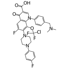 CN(C)Cc1ccc(-n2cc(C(=O)O)c(=O)c3cc(F)c(N4CCN(c5ccc(F)cc5)CC4)c(OC(F)(F)Cl)c32)cc1